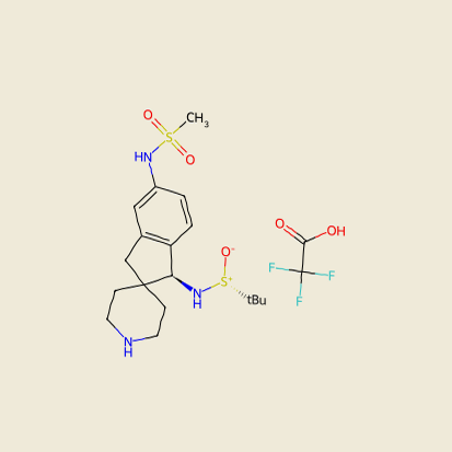 CC(C)(C)[S@@+]([O-])N[C@@H]1c2ccc(NS(C)(=O)=O)cc2CC12CCNCC2.O=C(O)C(F)(F)F